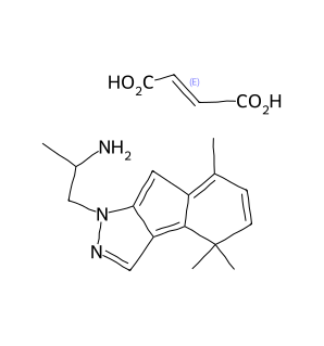 CC1=C2C=c3c(cnn3CC(C)N)=C2C(C)(C)C=C1.O=C(O)/C=C/C(=O)O